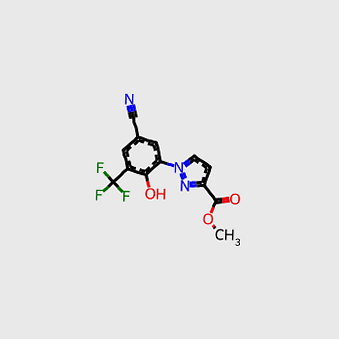 COC(=O)c1ccn(-c2cc(C#N)cc(C(F)(F)F)c2O)n1